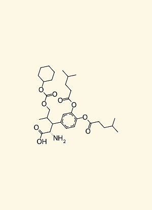 CC(C)CCC(=O)Oc1ccc(C(C(C)COC(=O)OC2CCCCC2)[C@H](N)C(=O)O)cc1OC(=O)CCC(C)C